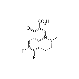 CN1CCc2c(F)c(F)cc3c(=O)c(C(=O)O)cn1c23